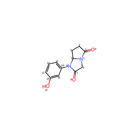 O=C1CCC2N1CC(=O)N2c1cccc(O)c1